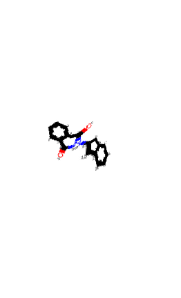 O=C1c2ccccc2C(=O)N1C1Cc2ccccc2C1